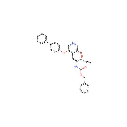 COC(=O)/C(=C\c1c(Br)cncc1Oc1ccc(-c2ccccc2)cc1)NC(=O)OCc1ccccc1